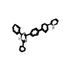 C1=CCNC(c2ccc(-c3ccc(C4=NC(c5ccccc5)NC(c5ccccc5)=N4)cc3)cc2)=C1